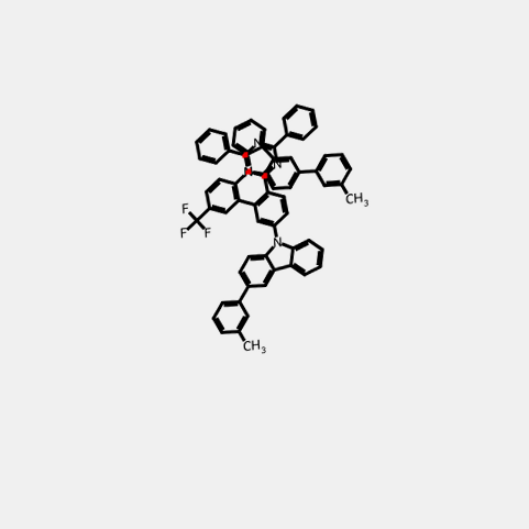 Cc1cccc(-c2ccc3c(c2)c2ccccc2n3-c2ccc(-c3nc(-c4ccccc4)nc(-c4ccccc4)n3)c(-c3cc(C(F)(F)F)ccc3-n3c4ccccc4c4cc(-c5cccc(C)c5)ccc43)c2)c1